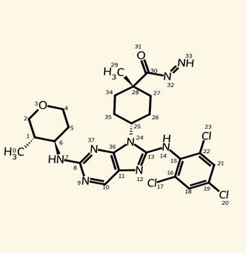 C[C@@H]1COCC[C@H]1Nc1ncc2nc(Nc3c(Cl)cc(Cl)cc3Cl)n([C@H]3CC[C@@](C)(C(=O)N=N)CC3)c2n1